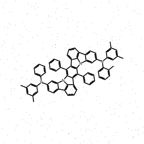 Cc1cc(C)cc(N(c2ccccc2)c2ccc3c4cccc5c6c(-c7ccccc7)c7c(c(-c8ccccc8)c6n(c3c2)c45)c2cccc3c4ccc(N(c5cc(C)cc(C)c5)c5ccccc5C)cc4n7c32)c1